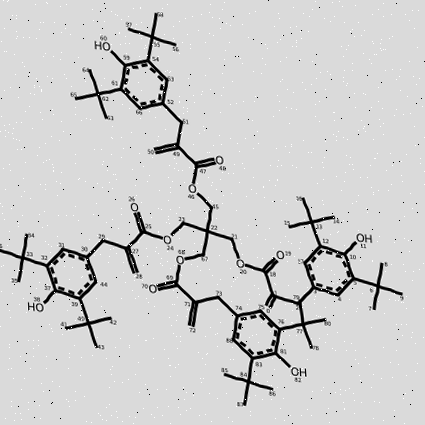 C=C(Cc1cc(C(C)(C)C)c(O)c(C(C)(C)C)c1)C(=O)OCC(COC(=O)C(=C)Cc1cc(C(C)(C)C)c(O)c(C(C)(C)C)c1)(COC(=O)C(=C)Cc1cc(C(C)(C)C)c(O)c(C(C)(C)C)c1)COC(=O)C(=C)Cc1cc(C(C)(C)C)c(O)c(C(C)(C)C)c1